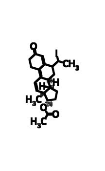 CC(=O)O[C@H]1CC[C@H]2[C@@H]3CC(C(C)I)C4=CC(=O)CCC4=C3C=C[C@]12C